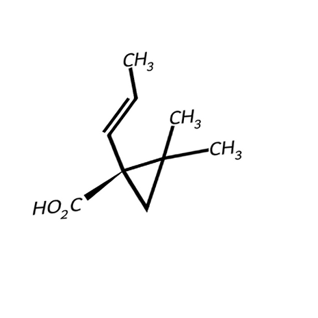 CC=C[C@@]1(C(=O)O)CC1(C)C